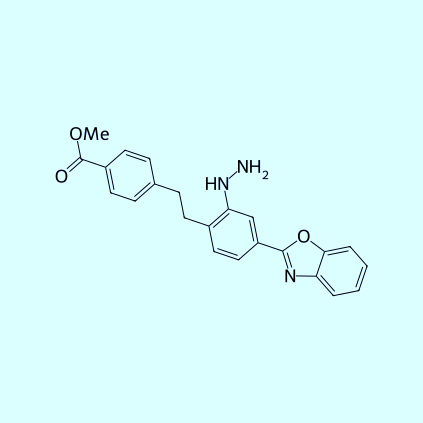 COC(=O)c1ccc(CCc2ccc(-c3nc4ccccc4o3)cc2NN)cc1